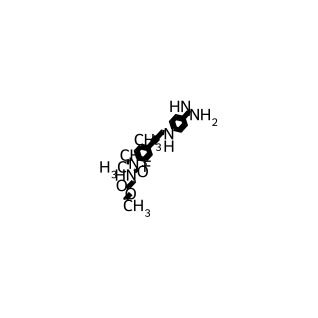 CCOC(=O)CNC(=O)N(c1cc(C)c(C#CCNc2ccc(C(=N)N)cc2)cc1F)C(C)C